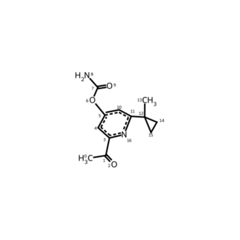 CC(=O)c1cc(OC(N)=O)cc(C2(C)CC2)n1